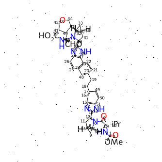 COC(=O)N[C@H](C(=O)N1[C@@H]2C[C@H]2C[C@H]1c1nc2cc(CCc3ccc4c(ccc5nc([C@@H]6C[C@H]7C[C@H]7N6[C@](C=O)(NC(=O)O)C6CCOCC6)[nH]c54)c3)ccc2[nH]1)C(C)C